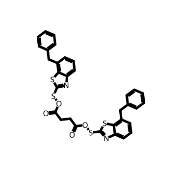 O=C(CCC(=O)OSc1nc2cccc(Cc3ccccc3)c2s1)OSc1nc2cccc(Cc3ccccc3)c2s1